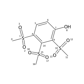 CS(=O)(=O)c1ccc(O)c(S(C)(=O)=O)c1S(C)(=O)=O